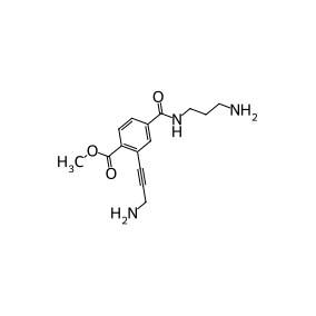 COC(=O)c1ccc(C(=O)NCCCN)cc1C#CCN